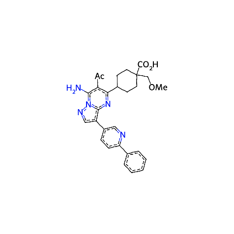 COCC1(C(=O)O)CCC(c2nc3c(-c4ccc(-c5ccccc5)nc4)cnn3c(N)c2C(C)=O)CC1